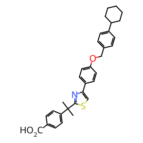 CC(C)(c1ccc(C(=O)O)cc1)c1nc(-c2ccc(OCc3ccc(C4CCCCC4)cc3)cc2)cs1